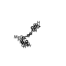 C=C1CCC(N2C(=O)c3cccc(NCCN4CC5(C4)CN(CCc4cc(OC)c(Nc6ncc(Cl)c(Nc7ccccc7S(=O)(=O)C(C)C)n6)cc4C)C5)c3C2=O)C(=O)N1